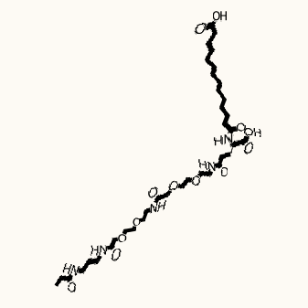 CCC(=O)NCCCNC(=O)COCCOCCNC(=O)COCCOCCNC(=O)CC[C@H](NC(=O)CCCCCCCCCCCCC(=O)O)C(=O)O